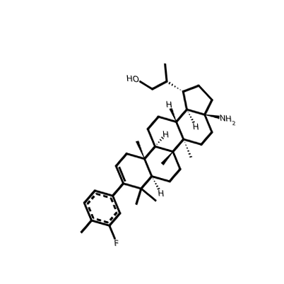 Cc1ccc(C2=CC[C@]3(C)[C@H]4CC[C@@H]5[C@H]6[C@H](C(C)CO)CC[C@]6(N)CC[C@@]5(C)[C@]4(C)CC[C@H]3C2(C)C)cc1F